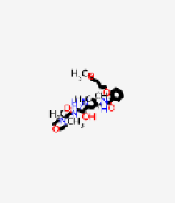 COCCCCOc1ccccc1C(=O)NC[C@@H](C[C@H](N)[C@@H](O)CNC(=O)C(C)(C)N1CCOCC1)C(C)C